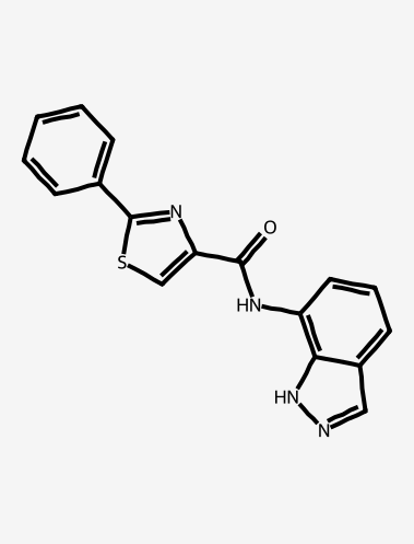 O=C(Nc1cccc2cn[nH]c12)c1csc(-c2ccccc2)n1